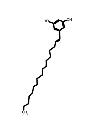 CCCCCCCCCCCCCCCC=Cc1cc(O)cc(O)c1